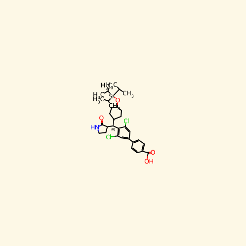 CC(C)[Si](OC1CCC([C@@H](c2c(Cl)cc(-c3ccc(C(=O)O)cc3)cc2Cl)C2CCNC2=O)CC1)(C(C)C)C(C)C